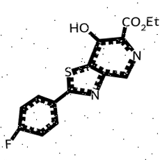 CCOC(=O)c1ncc2nc(-c3ccc(F)cc3)sc2c1O